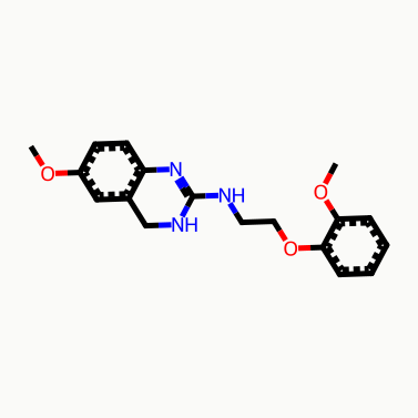 COc1ccc2c(c1)CNC(NCCOc1ccccc1OC)=N2